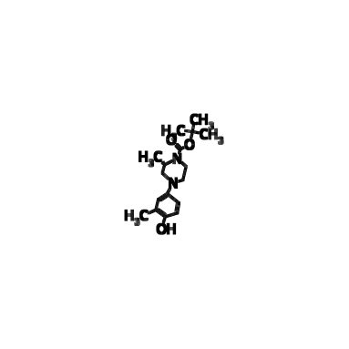 Cc1cc(N2CCN(C(=O)OC(C)(C)C)[C@H](C)C2)ccc1O